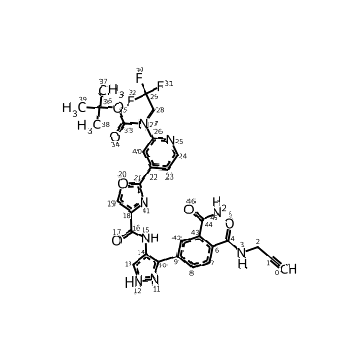 C#CCNC(=O)c1ccc(-c2n[nH]cc2NC(=O)c2coc(-c3ccnc(N(CC(F)(F)F)C(=O)OC(C)(C)C)c3)n2)cc1C(N)=O